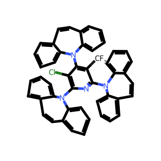 FC(F)(F)c1c(N2c3ccccc3C=Cc3ccccc32)nc(N2c3ccccc3C=Cc3ccccc32)c(Cl)c1N1c2ccccc2C=Cc2ccccc21